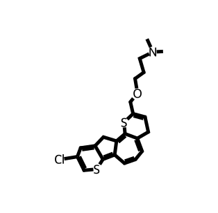 CN(C)CCCOCC1=CCC2=CC=CC3=C4SC=C(Cl)C=C4CC3=C2S1